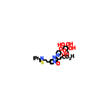 CC(C)c1csc(CCc2ccn3c(=O)c(/C=C/C(=O)O)c(N4CCC(O[C@@H]5O[C@H](CO)[C@H](O)[C@H](O)[C@H]5O)CC4)nc3c2)n1